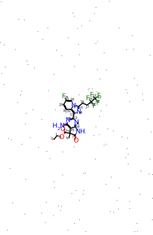 CCOC(=O)C1(C)C(=O)Nc2nc(-c3nc(CCC(F)(F)C(F)(F)F)n4cc(F)ccc34)nc(N)c21